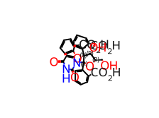 O=C(O)c1ccccc1O[C@]1(c2ccccc2C(=O)O)[C@H](O)[C@@H](CO)O[C@@]1(c1ccccc1C(=O)O)n1ccc(=O)[nH]c1=O